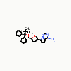 CC(C)(C)[Si](OCC1CC=C(c2ccc3c(N)ncnn23)CO1)(c1ccccc1)c1ccccc1